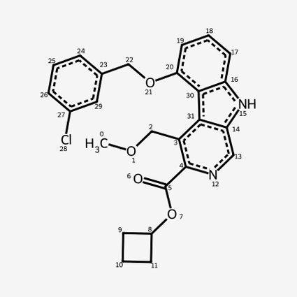 COCc1c(C(=O)OC2CCC2)ncc2[nH]c3cccc(OCc4cccc(Cl)c4)c3c12